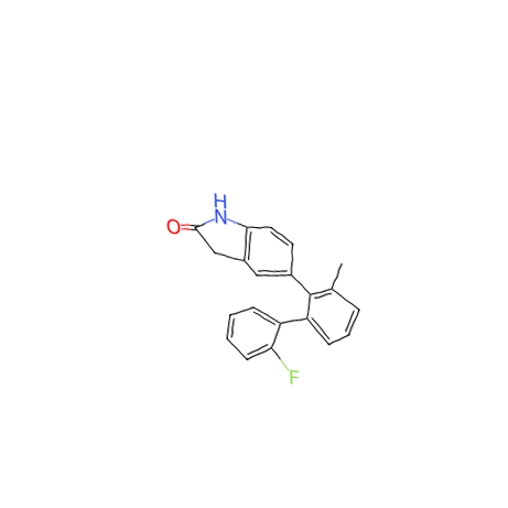 Cc1cccc(-c2ccccc2F)c1-c1ccc2c(c1)CC(=O)N2